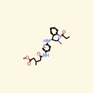 CCC(=O)N1c2ccccc2[C@H](Nc2ccc(NC(=O)CC(C)CC(=O)OC)cc2)C[C@@H]1C